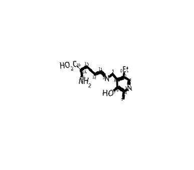 CCc1cnc(C)c(O)c1C/N=C/CC[C@H](N)C(=O)O